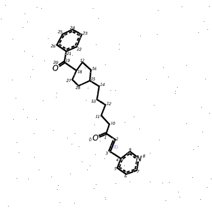 O=C(/C=C/c1cccnc1)CCCCCC1CCC(C(=O)c2ccccc2)CC1